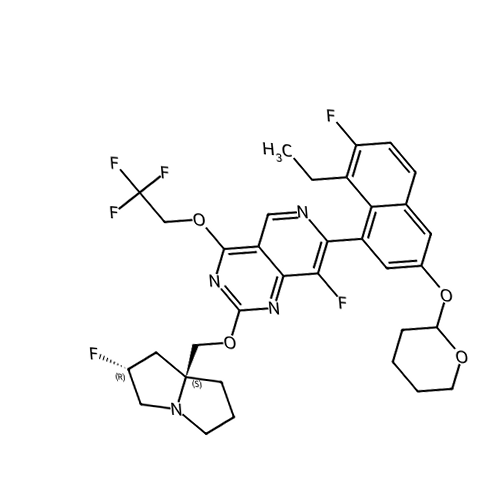 CCc1c(F)ccc2cc(OC3CCCCO3)cc(-c3ncc4c(OCC(F)(F)F)nc(OC[C@@]56CCCN5C[C@H](F)C6)nc4c3F)c12